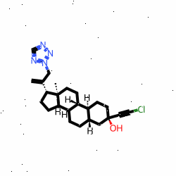 C=C(Cn1ncnn1)[C@H]1CC[C@H]2[C@@H]3CC[C@H]4C[C@@](O)(C#CCl)CC[C@@H]4[C@H]3CC[C@]12C